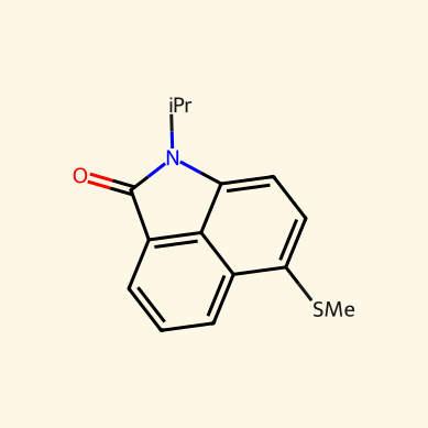 CSc1ccc2c3c(cccc13)C(=O)N2C(C)C